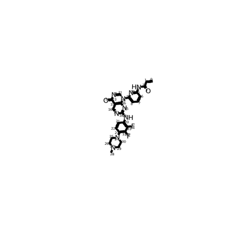 C=CC(=O)Nc1cccc(-n2cnc(=O)c3cnc(Nc4ccc(N5CCN(C)CC5)c(F)c4F)nc32)n1